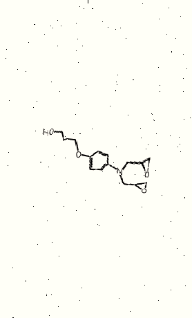 OCCCOc1ccc(N(CC2CO2)CC2CO2)cc1